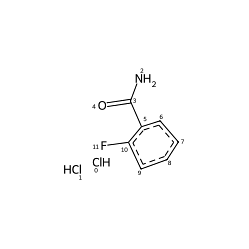 Cl.Cl.NC(=O)c1ccccc1F